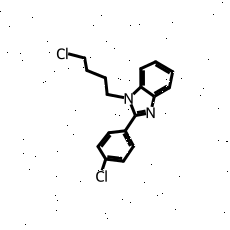 ClCCCCn1c(-c2ccc(Cl)cc2)nc2ccccc21